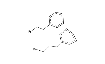 CC(C)CCCc1ccccc1.CC(C)CCc1ccccc1